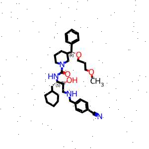 COCCCO[C@@H](c1ccccc1)C1CCCN(C(=O)N[C@@H](CC2CCCCC2)[C@H](O)CNCc2ccc(C#N)cc2)C1